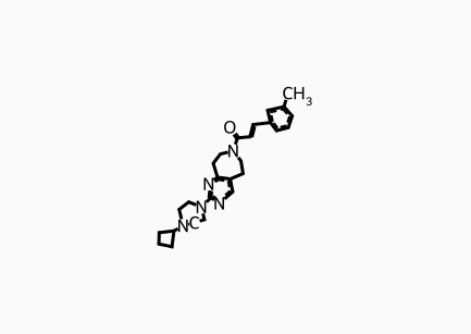 Cc1cccc(C=CC(=O)N2CCc3cnc(N4CCN(C5CCC5)CC4)nc3CC2)c1